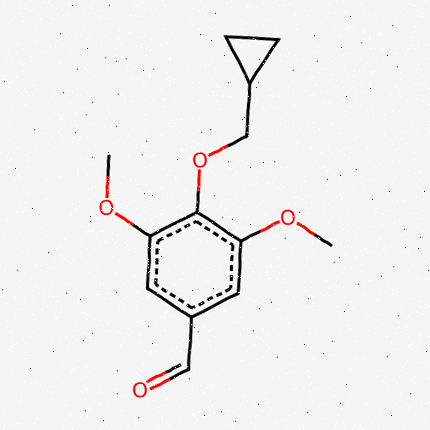 COc1cc(C=O)cc(OC)c1OCC1CC1